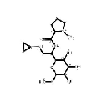 CSC1OC(C(CNC2CC2)NC(=O)C2CCCN2C)C(O)C(O)C1O